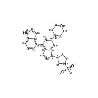 CS(=O)(=O)N1CCC(n2ncc3c(-c4cccc5[nH]ccc45)nc(N4CCOCC4)nc32)C1